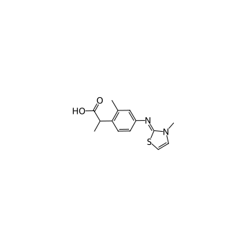 Cc1cc(/N=c2\sccn2C)ccc1C(C)C(=O)O